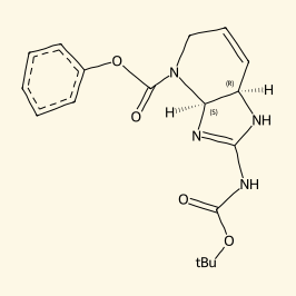 CC(C)(C)OC(=O)NC1=N[C@@H]2[C@@H](C=CCN2C(=O)Oc2ccccc2)N1